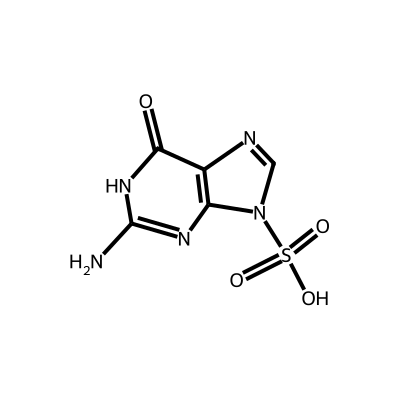 Nc1nc2c(ncn2S(=O)(=O)O)c(=O)[nH]1